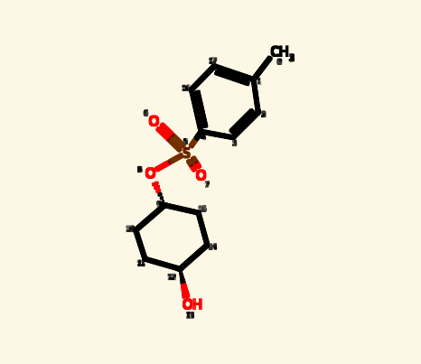 Cc1ccc(S(=O)(=O)O[C@H]2CC[C@H](O)CC2)cc1